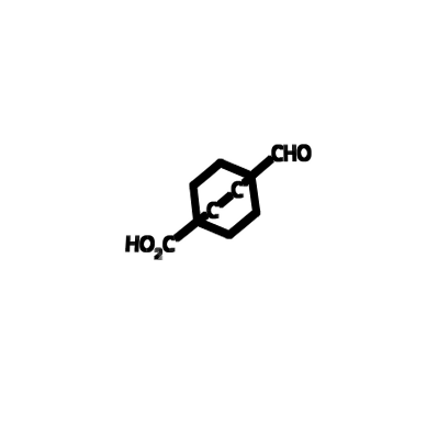 O=CC12CCC(C(=O)O)(CC1)CC2